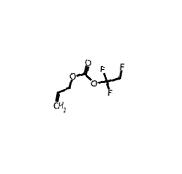 C=CCOC(=O)OC(F)(F)CF